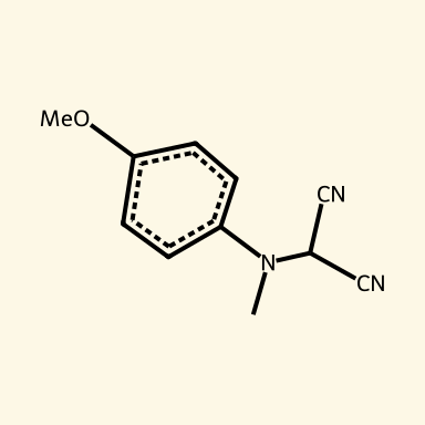 COc1ccc(N(C)C(C#N)C#N)cc1